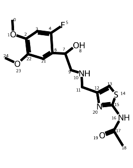 COc1cc(F)c(C(O)CNCc2csc(NC(C)=O)n2)cc1OC